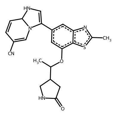 Cc1nc2cc(C3=CNC4C=CC(C#N)=CN34)cc(OC(C)C3CNC(=O)C3)c2s1